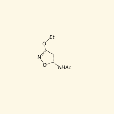 CCOC1=NOC(NC(C)=O)C1